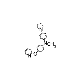 CN(c1ccc(Oc2ccccn2)cc1)c1ccc(N2CCCC2)cc1